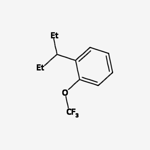 CCC(CC)c1ccccc1OC(F)(F)F